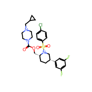 O=C(OC[C@H]1CC[C@@H](c2cc(F)cc(F)c2)CN1S(=O)(=O)c1ccc(Cl)cc1)N1CCN(CC2CC2)CC1